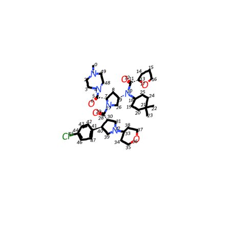 CN1CCN(C(=O)[C@@H]2C[C@H](N(C(=O)[C@@H]3CCCO3)C3CCC(C)(C)CC3)CN2C(=O)[C@@H]2CN(C3CCOCC3)C[C@H]2c2ccc(Cl)cc2)CC1